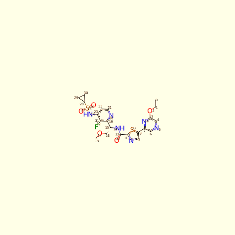 CCOc1cncc(-c2cnc(C(=O)N[C@H](COC)c3nccc(NS(=O)(=O)C4CC4)c3F)s2)n1